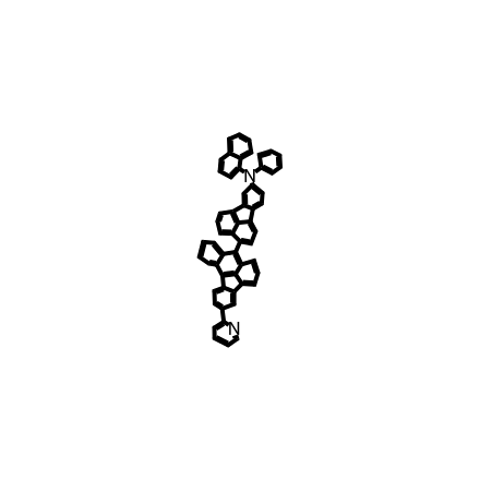 c1ccc(N(c2ccc3c(c2)-c2cccc4c(-c5c6ccccc6c6c7c(cccc57)-c5cc(-c7ccccn7)ccc5-6)ccc-3c24)c2cccc3ccccc23)cc1